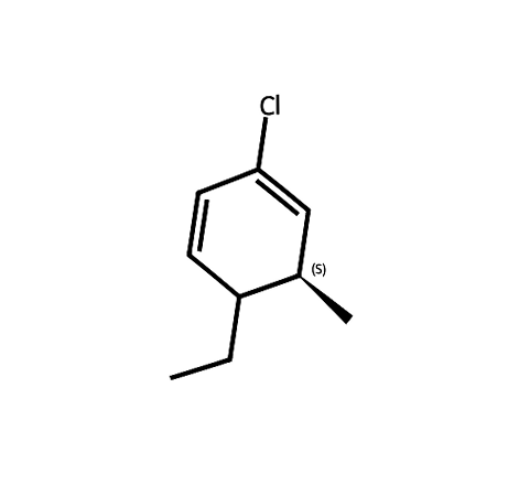 CCC1C=CC(Cl)=C[C@H]1C